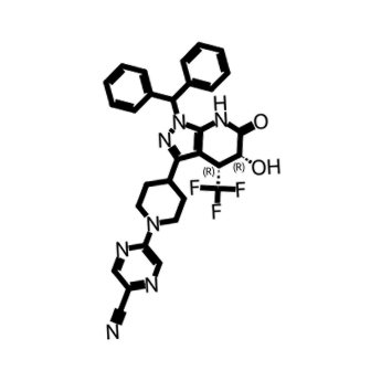 N#Cc1cnc(N2CCC(c3nn(C(c4ccccc4)c4ccccc4)c4c3[C@@H](C(F)(F)F)[C@@H](O)C(=O)N4)CC2)cn1